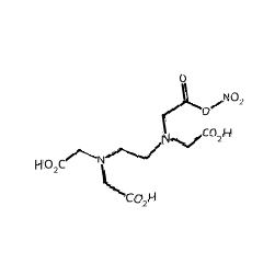 O=C(O)CN(CCN(CC(=O)O)CC(=O)O[N+](=O)[O-])CC(=O)O